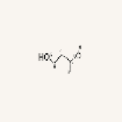 COC(C)C[CH]O